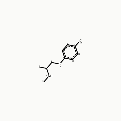 CNC(C)CSc1ccc(Cl)cc1